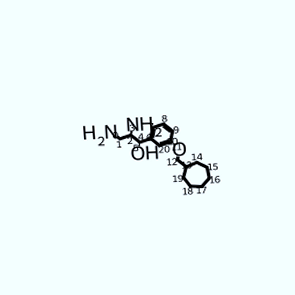 NC[C@@H](N)[C@@H](O)c1cccc(OCC2CCCCCC2)c1